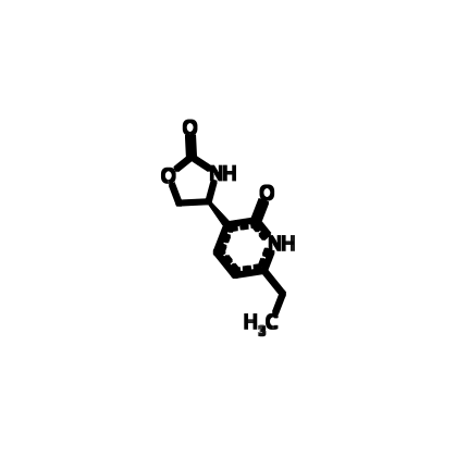 CCc1ccc([C@H]2COC(=O)N2)c(=O)[nH]1